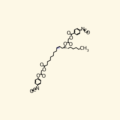 CCCCCC[C@H](C/C=C\CCCCCCCC(=O)OCC(=O)Oc1ccc(N=C=O)cc1)OC(=O)COC(=O)c1ccc(N=C=O)cc1